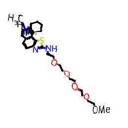 COCCOCCOCCOCCOCCNc1nc2ccc3c(c2s1)[C@@]12CCCC[C@H]1[C@@H](C3)N(C)CC2